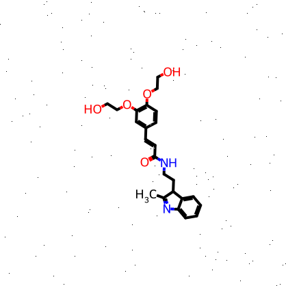 CC1=Nc2ccccc2C1CCNC(=O)/C=C/c1ccc(OCCO)c(OCCO)c1